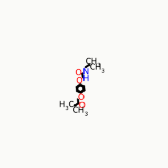 CC(C)CNC(=O)COc1ccc(OCC(=O)C(C)C)cc1